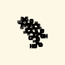 CC1(C)CC(N(C(=O)c2ccccc2)c2cccc(-c3sc(C(=O)O)c(OCC(=O)O)c3Cl)c2)CC(C)(C)C1